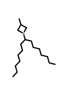 CCCCCCCC(CCCCCCC)N1CC(C)C1